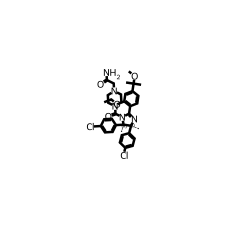 CCOc1cc(C(C)(C)OC)ccc1C1=N[C@@](C)(c2ccc(Cl)cc2)[C@@](C)(c2ccc(Cl)cc2)N1C(=O)N1CCN(CC(N)=O)CC1